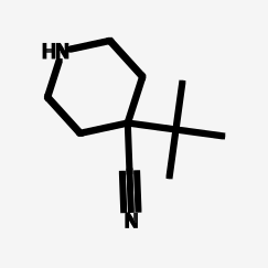 CC(C)(C)C1(C#N)CCNCC1